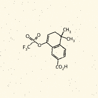 CC1(C)CC=C(OS(=O)(=O)C(F)(F)F)c2cc(C(=O)O)ccc21